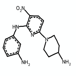 Nc1cccc(Nc2nc(N3CCC(N)CC3)ccc2[N+](=O)[O-])c1